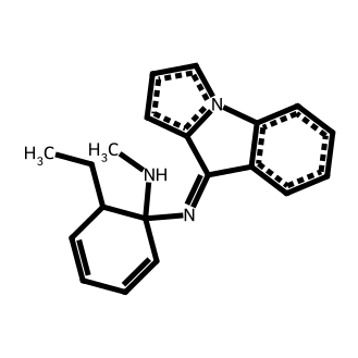 CCC1C=CC=CC1(N=C1c2ccccc2-n2cccc21)NC